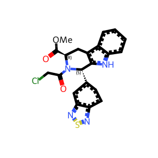 COC(=O)[C@H]1Cc2c([nH]c3ccccc23)[C@H](c2ccc3nsnc3c2)N1C(=O)CCl